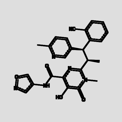 Cc1ccc([C@@H](c2ccccc2C#N)[C@@H](C)c2nc(C(=O)Nc3cnoc3)c(O)c(=O)n2C)cn1